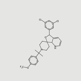 CC(C)(c1ccc(OC(F)(F)F)cc1)N1CCC2(CC1)OC(c1cc(Cl)cc(Cl)c1)C1=CC=CNC12